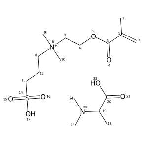 C=C(C)C(=O)OCC[N+](C)(C)CCCS(=O)(=O)O.CC(C(=O)O)N(C)C